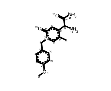 COc1ccc(Cn2cc(C)c(C(N)C(N)=O)cc2=O)cc1